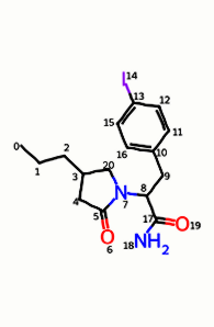 CCCC1CC(=O)N(C(Cc2ccc(I)cc2)C(N)=O)C1